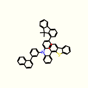 CC1(C)c2ccccc2-c2cccc(-c3ccc(N(c4cccc(-c5cccc6ccccc56)c4)c4ccccc4-c4cccc5c4sc4ccccc45)cc3)c21